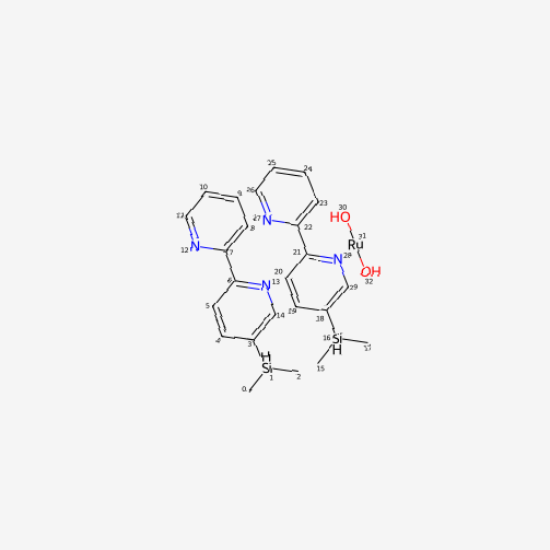 C[SiH](C)c1ccc(-c2ccccn2)nc1.C[SiH](C)c1ccc(-c2ccccn2)nc1.[OH][Ru][OH]